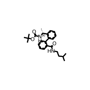 CC(C)CCNC(=O)c1ccccc1-c1ccccc1[C@@H](C)NC(=O)OC(C)(C)C